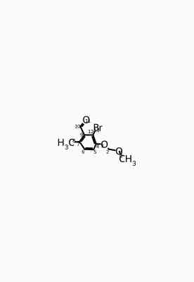 COCOc1ccc(C)c(C=O)c1Br